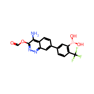 Nc1c(OC=O)nnc2cc(-c3ccc(C(F)(F)F)c(B(O)O)c3)ccc12